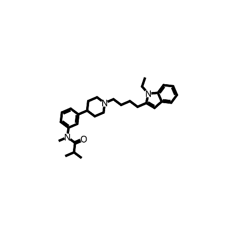 CCn1c(CCCCN2CCC(c3cccc(N(C)C(=O)C(C)C)c3)CC2)cc2ccccc21